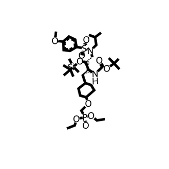 CCOP(=O)(COC1CCC(C[C@H](NC(=O)OC(C)(C)C)[C@@H](CN(CC(C)C)S(=O)(=O)c2ccc(OC)cc2)O[Si](C)(C)C(C)(C)C)CC1)OCC